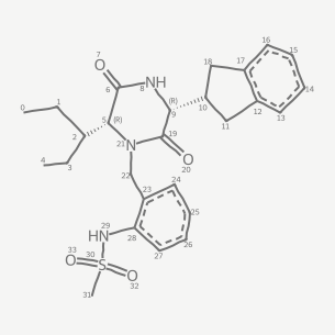 CCC(CC)[C@@H]1C(=O)N[C@H](C2Cc3ccccc3C2)C(=O)N1Cc1ccccc1NS(C)(=O)=O